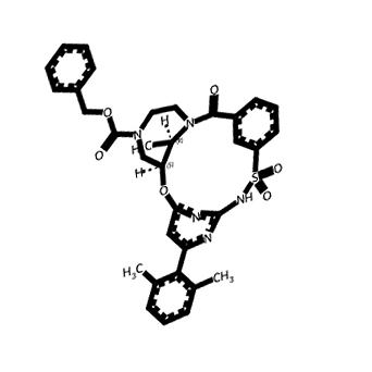 Cc1cccc(C)c1-c1cc2nc(n1)NS(=O)(=O)c1cccc(c1)C(=O)N1CCN(C(=O)OCc3ccccc3)C[C@H](O2)[C@H]1C